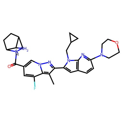 Cc1c(-c2cc3ccc(N4CCOCC4)nc3n2CC2CC2)nn2cc(C(=O)N3CC4CCC3[C@@H]4N)cc(F)c12